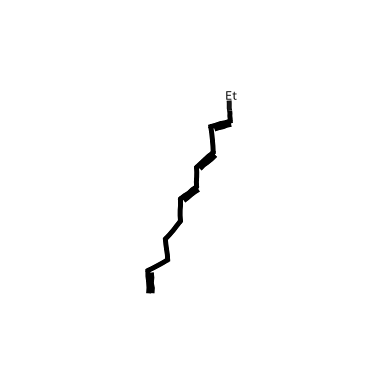 C=CCCCC=CC=CC=CCC